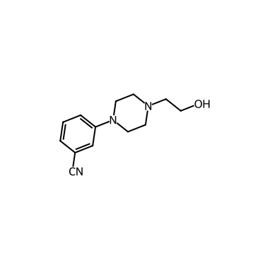 N#Cc1cccc(N2CCN(CCO)CC2)c1